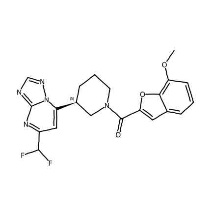 COc1cccc2cc(C(=O)N3CCC[C@H](c4cc(C(F)F)nc5ncnn45)C3)oc12